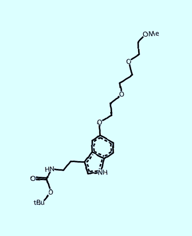 COCCOCCOCCOc1ccc2[nH]cc(CCNC(=O)OC(C)(C)C)c2c1